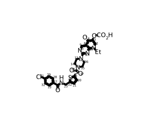 CCn1cc(OC(=O)O)c(=O)c2cnc(N3CCN(S(=O)(=O)c4ccc(CNC(=O)c5ccc(Cl)cc5)s4)CC3)nc21